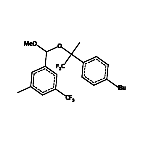 CCC(C)c1ccc(C(C)(OC(OC)c2cc(C)cc(C(F)(F)F)c2)C(F)(F)F)cc1